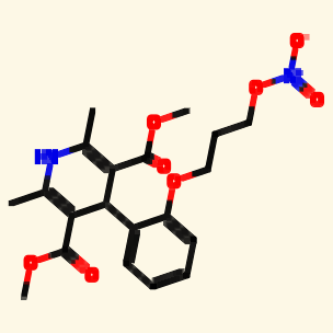 COC(=O)C1=C(C)NC(C)=C(C(=O)OC)C1c1ccccc1OCCCO[N+](=O)[O-]